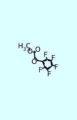 COC(=O)C1OC1c1c(F)c(F)c(F)c(F)c1F